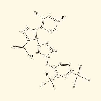 NC(=O)c1noc(-c2ccc(F)cc2F)c1-c1cnn(Cc2ccc(C(F)(F)F)cc2C(F)(F)F)c1